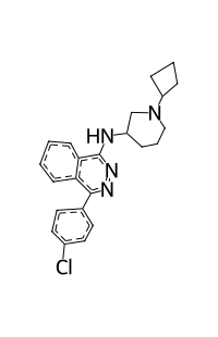 Clc1ccc(-c2nnc(NC3CCCN(C4CCC4)C3)c3ccccc23)cc1